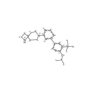 CC(C)Oc1ccc(-c2ccnc(N3CCC4(CCN4)CC3)n2)cc1C(C)(C)C